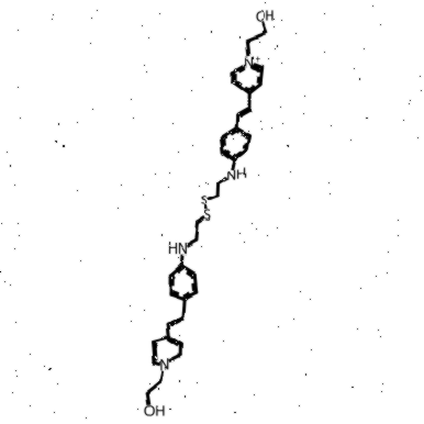 OCCN1C=CC(/C=C/c2ccc(NCCSSCCNc3ccc(/C=C/c4cc[n+](CCO)cc4)cc3)cc2)=CC1